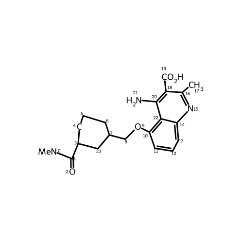 CNC(=O)C1CCCC(COc2cccc3nc(C)c(C(=O)O)c(N)c23)C1